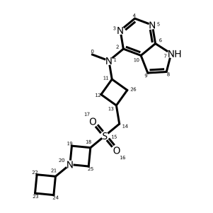 CN(c1ncnc2[nH]ccc12)C1CC(CS(=O)(=O)C2CN(C3CCC3)C2)C1